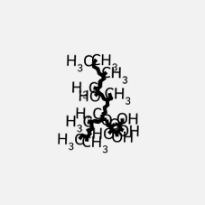 CCC(C)C/C=C/C(C)/C=C/C(OCC1OC(CO)C(O)C(O)C1O)C(C)CCCC(CC)CCC(O)C(C)/C=C/CC(C)CCCC(C)C